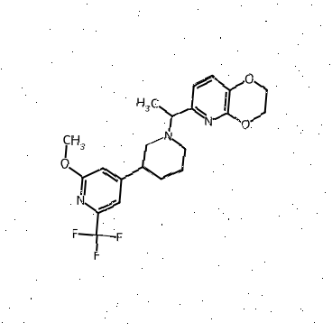 COc1cc(C2CCCN(C(C)c3ccc4c(n3)OCCO4)C2)cc(C(F)(F)F)n1